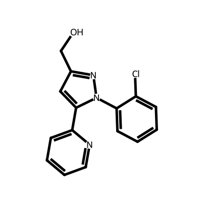 OCc1cc(-c2ccccn2)n(-c2ccccc2Cl)n1